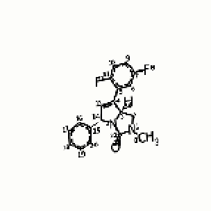 CN1C[C@H]2C(c3cc(F)ccc3F)=C[C@@H](c3ccccc3)N2C1=O